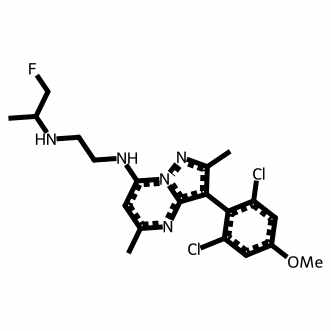 COc1cc(Cl)c(-c2c(C)nn3c(NCCNC(C)CF)cc(C)nc23)c(Cl)c1